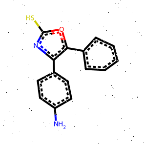 Nc1ccc(-c2nc(S)oc2-c2ccccc2)cc1